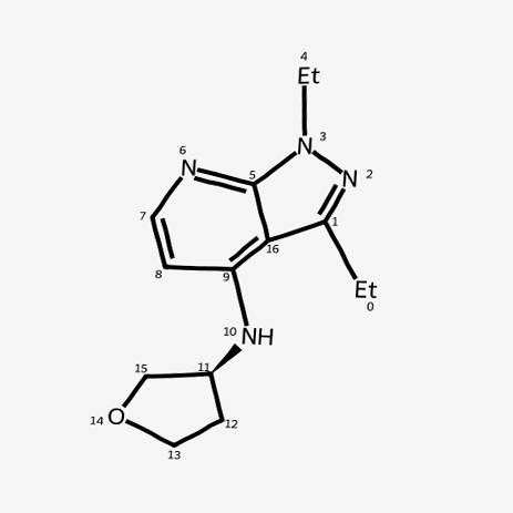 CCc1nn(CC)c2nccc(N[C@H]3CCOC3)c12